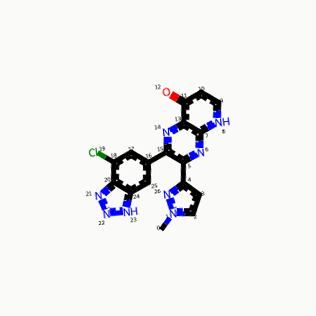 Cn1ccc(-c2nc3[nH]ccc(=O)c3nc2-c2cc(Cl)c3nn[nH]c3c2)n1